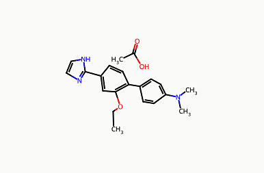 CC(=O)O.CCOc1cc(-c2ncc[nH]2)ccc1-c1ccc(N(C)C)cc1